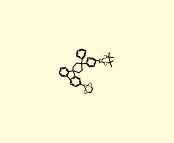 CC1(C)OB(c2ccc(C3(c4ccccc4)CCC4(CC3)c3ccccc3-c3ccc(B5OCCO5)cc34)cc2)OC1(C)C